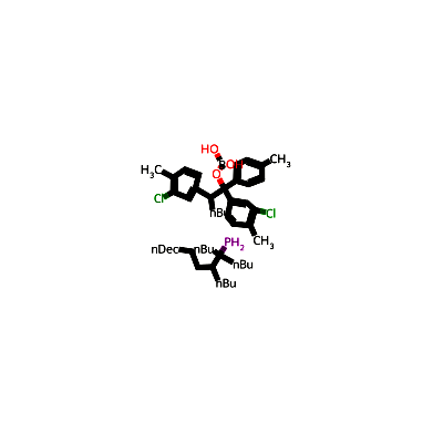 CCCCC(c1ccc(C)c(Cl)c1)C(OB(O)O)(c1ccc(C)cc1)c1ccc(C)c(Cl)c1.CCCCCCCCCCCCC(CCCC)C(P)(CCCC)CCCC